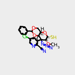 CO[C@H]1[C@@H](S)O[C@@H]2COC(c3ccccc3)O[C@@H]2C1(N=[N+]=[N-])c1cc(Cl)cnc1C#N